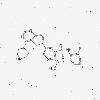 COc1ncc(-c2ccc3ncnc(N4CCNCC4)c3c2)cc1S(=O)(=O)Nc1ccc(F)cc1F